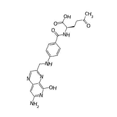 CC(=O)CC[C@@H](NC(=O)c1ccc(NCc2cnc3cc(N)nc(O)c3n2)cc1)C(=O)O